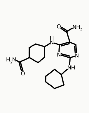 NC(=O)c1cnc(NC2CCCCC2)nc1NC1CCC(C(N)=O)CC1